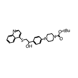 CC(C)(C)OC(=O)N1CCN(c2ccc(C(O)CSc3ccnc4ccccc34)cc2)CC1